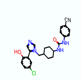 N#Cc1ccc(NC(=O)NC2CCC(Cn3cncc3-c3cc(Cl)ccc3O)CC2)cc1